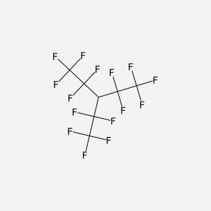 FC(F)(F)C(F)(F)C(C(F)(F)C(F)(F)F)C(F)(F)C(F)(F)F